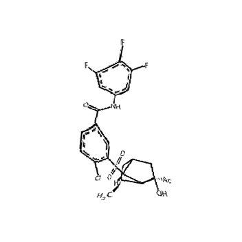 CC(=O)[C@@]1(O)CC2C[C@H](C)C1[C@@H]2S(=O)(=O)c1cc(C(=O)Nc2cc(F)c(F)c(F)c2)ccc1Cl